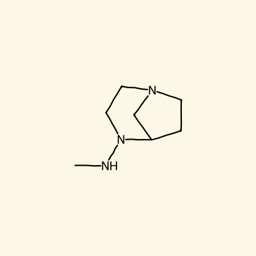 CNN1CCN2CCC1C2